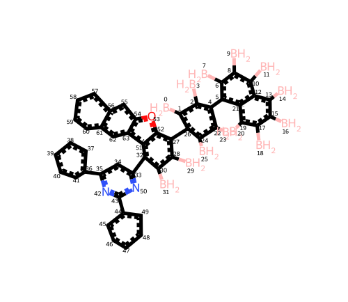 Bc1c(B)c(-c2c(B)c(B)c(B)c3c(B)c(B)c(B)c(B)c23)c(B)c(B)c1-c1c(B)c(B)c(-c2cc(-c3ccccc3)nc(-c3ccccc3)n2)c2c1oc1cc3ccccc3cc12